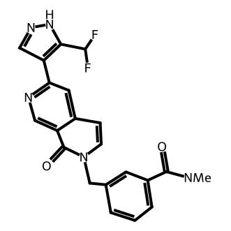 CNC(=O)c1cccc(Cn2ccc3cc(-c4cn[nH]c4C(F)F)ncc3c2=O)c1